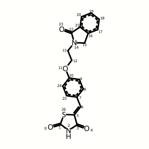 O=C1NC(=O)C(=Cc2ccc(OCCN3Cc4ccccc4C3=O)cc2)S1